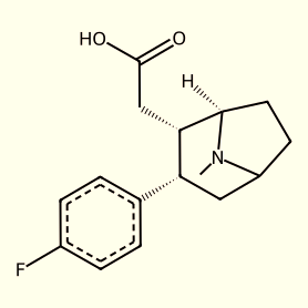 CN1C2CC[C@@H]1[C@@H](CC(=O)O)[C@@H](c1ccc(F)cc1)C2